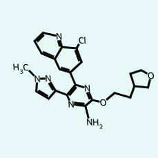 Cn1ccc(-c2nc(N)c(OCCC3CCOC3)nc2-c2cc(Cl)c3ncccc3c2)n1